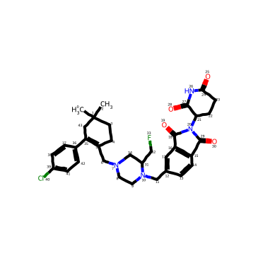 CC1(C)CCC(CN2CCN(Cc3ccc4c(c3)C(=O)N(C3CCC(=O)NC3=O)C4=O)C(CF)C2)=C(c2ccc(Cl)cc2)C1